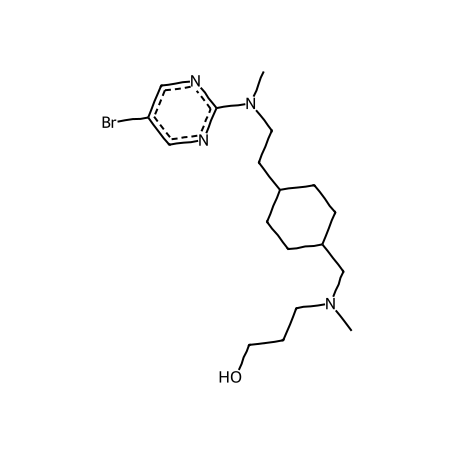 CN(CCCO)CC1CCC(CCN(C)c2ncc(Br)cn2)CC1